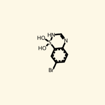 OS1(O)NC=Nc2ccc(Br)cc21